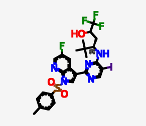 Cc1ccc(S(=O)(=O)n2cc(-c3ncc(I)c(N[C@H](CC(O)C(F)(F)F)C(C)(C)C)n3)c3cc(F)cnc32)cc1